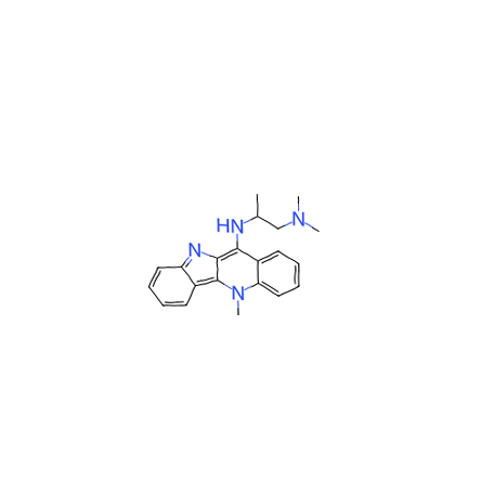 CC(CN(C)C)Nc1c2nc3ccccc3c-2n(C)c2ccccc12